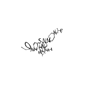 CCC(=O)Nc1ccc(Sc2nc(Nc3cc(C)n[nH]3)cc(N3CCC(N4CCC(F)C4)CC3)n2)cc1